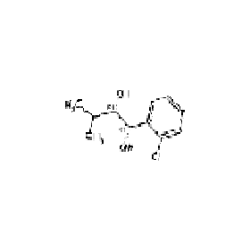 CC(C)[C@H](O)[C@@H](O)c1ccccc1Cl